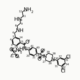 CN(c1ccc(CNCCNCCN)cc1C(=O)Nc1ccc(S(=O)(=O)N2CCN(c3cc(Cl)cc(Cl)c3)CC2)cc1)S(C)(=O)=O